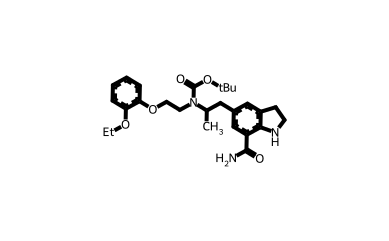 CCOc1ccccc1OCCN(C(=O)OC(C)(C)C)C(C)Cc1cc2c(c(C(N)=O)c1)NCC2